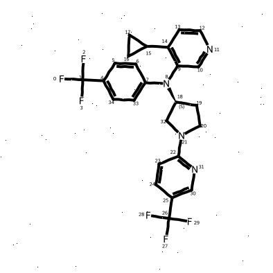 FC(F)(F)c1ccc(N(c2cnccc2C2CC2)[C@H]2CCN(c3ccc(C(F)(F)F)cn3)C2)cc1